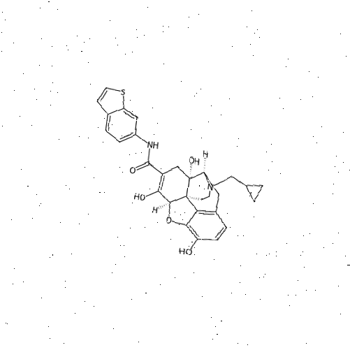 O=C(Nc1ccc2ccsc2c1)C1=C(O)[C@@H]2Oc3c(O)ccc4c3[C@@]23CCN(CC2CC2)[C@H](C4)[C@]3(O)C1